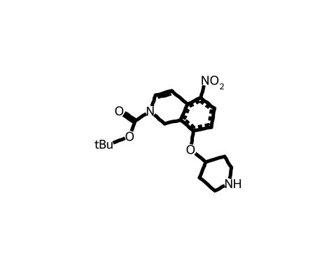 CC(C)(C)OC(=O)N1C=Cc2c([N+](=O)[O-])ccc(OC3CCNCC3)c2C1